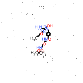 CCCCOc1nc(N)c2nc(O)n(Cc3ccc(C(=O)NCCOCCNC(=O)OC(C)(C)C)cc3)c2n1